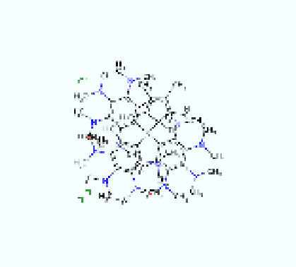 CC1=C(C)[C]([Ti+3])([Si](c2c(C)c(N(C)C)c(N(C)C)c(N(C)C)c2N(C)C)(c2c(C)c(N(C)C)c(N(C)C)c(N(C)C)c2N(C)C)c2c(C)c(N(C)C)c(N(C)C)c(N(C)C)c2N(C)C)C(C)=C1C.[Cl-].[Cl-].[Cl-]